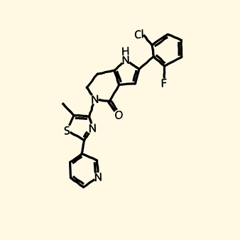 Cc1sc(-c2cccnc2)nc1N1CCc2[nH]c(-c3c(F)cccc3Cl)cc2C1=O